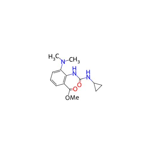 COC(=O)c1cccc(N(C)C)c1NC(=O)NC1CC1